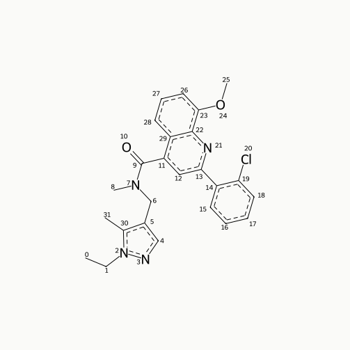 CCn1ncc(CN(C)C(=O)c2cc(-c3ccccc3Cl)nc3c(OC)cccc23)c1C